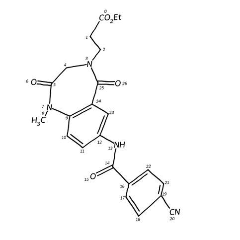 CCOC(=O)CCN1CC(=O)N(C)c2ccc(NC(=O)c3ccc(C#N)cc3)cc2C1=O